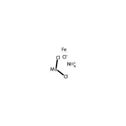 [Cl-].[Cl][Mo][Cl].[Fe].[NH4+]